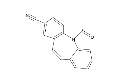 N#Cc1ccc2c(c1)C=Cc1ccccc1N2[C]=O